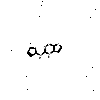 C1#CC(NC2=NSc3sccc3N2)CC1